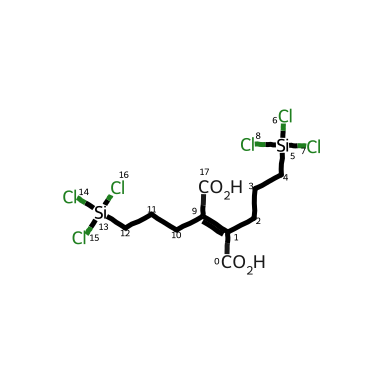 O=C(O)C(CCC[Si](Cl)(Cl)Cl)=C(CCC[Si](Cl)(Cl)Cl)C(=O)O